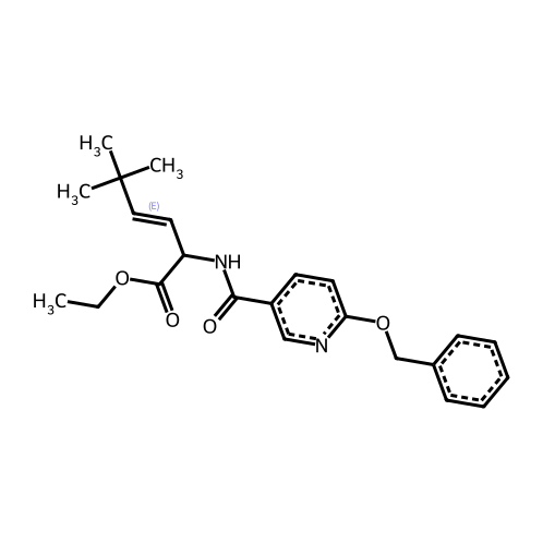 CCOC(=O)C(/C=C/C(C)(C)C)NC(=O)c1ccc(OCc2ccccc2)nc1